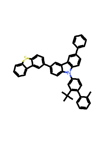 Cc1ccccc1-c1ccc(-n2c3ccc(-c4ccccc4)cc3c3cc(-c4ccc5sc6ccccc6c5c4)ccc32)cc1C(C)(C)C